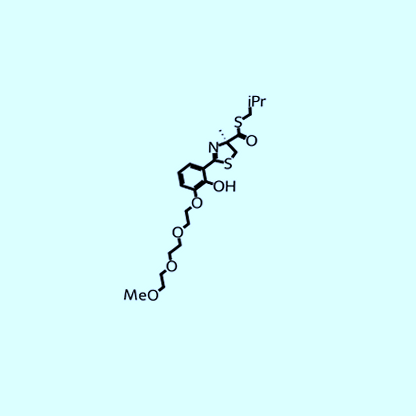 COCCOCCOCCOc1cccc(C2=N[C@@](C)(C(=O)SCC(C)C)CS2)c1O